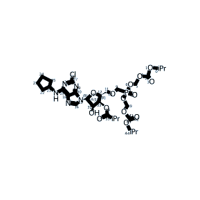 CC(C)OC(=O)OCOP(=O)(COC[C@H]1O[C@@H](n2cnc3c(NC4CCCC4)nc(Cl)nc32)[C@H](O)[C@@H]1OC(=O)C(C)C)OCOC(=O)OC(C)C